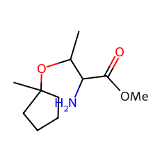 COC(=O)C(N)C(C)OC1(C)CCCC1